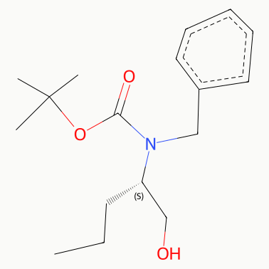 CCC[C@@H](CO)N(Cc1ccccc1)C(=O)OC(C)(C)C